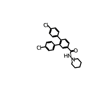 O=C(NN1CCCCC1)c1ccc(-c2ccc(Cl)cc2)c(-c2ccc(Cl)cc2)c1